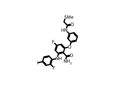 CSCC(=O)Nc1cccc(Oc2cc(F)cc(Nc3ccc(I)cc3F)c2C(N)=O)c1